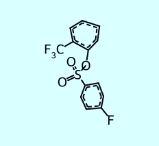 O=S(=O)(Oc1ccccc1C(F)(F)F)c1ccc(F)cc1